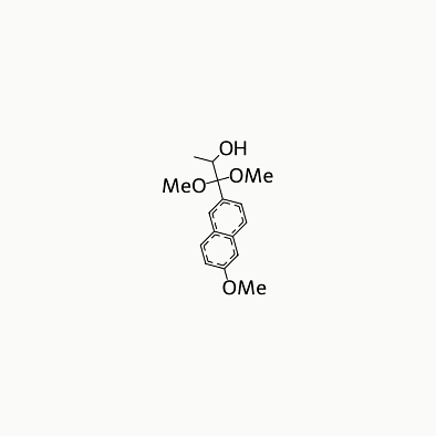 COc1ccc2cc(C(OC)(OC)C(C)O)ccc2c1